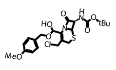 COc1ccc(COC(O)C2=C(CCl)CSC3[C@H](NC(=O)OC(C)(C)C)C(=O)N23)cc1